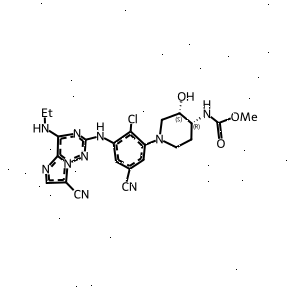 CCNc1nc(Nc2cc(C#N)cc(N3CC[C@@H](NC(=O)OC)[C@@H](O)C3)c2Cl)nn2c(C#N)cnc12